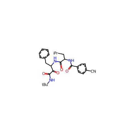 CC(C)CC(NC(=O)c1ccc(C#N)cc1)C(=O)NC(Cc1ccccc1)C(=O)C(=O)NC(C)(C)C